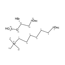 Br.CCCCCCCCCCCCCCCC[N+](C)(C)C.CCCCCCCCCCCCOS(=O)(=O)O